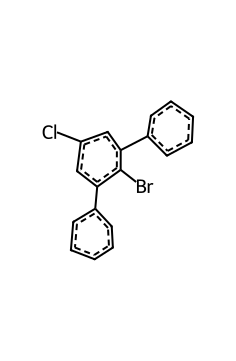 Clc1cc(-c2ccccc2)c(Br)c(-c2ccccc2)c1